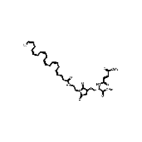 CC/C=C\C/C=C\C/C=C\C/C=C\C/C=C\C/C=C\CCC(=O)NCCN1C(=O)CC(SC[C@H](NC(=O)/C=C/C(=O)OC)C(=O)OC)C1=O